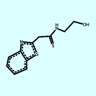 OCCNC(=S)Cc1nc2ccccc2s1